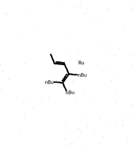 CC=CC(CCCC)=C(CCCC)CCCC.[Ru]